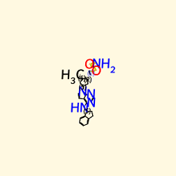 C[C@H]1C[C@H](n2ccc3c(N[C@H]4CCc5ccccc54)ncnc32)C[C@H]1/C=C/S(N)(=O)=O